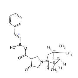 C[C@H]1[C@H](N2CC(=O)C(C(=O)OB(O)/C=C/c3ccccc3)C2)C[C@@H]2C[C@H]1C2(C)C